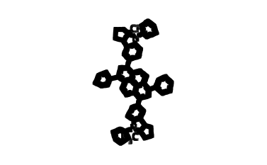 CC12CCCC1c1cc(-c3cc(-c4ccccc4)c4ccc5c(-c6ccc7c(c6)C6CCCC6(C)N7c6ccccc6)cc(-c6ccccc6)c6ccc3c4c65)ccc1N2c1ccccc1